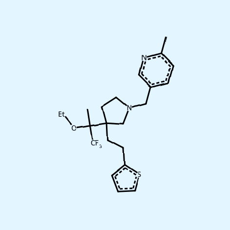 CCOC(C)(C(F)(F)F)C1(CCc2cccs2)CCN(Cc2ccc(C)nc2)C1